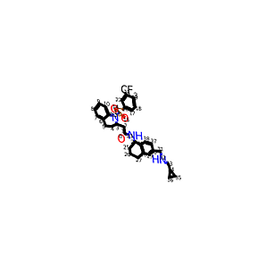 O=C(CC1CCc2ccccc2N1S(=O)(=O)c1cccc(C(F)(F)F)c1)N[C@@H]1CCCc2cc(CNCC3CC3)ccc21